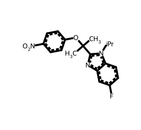 CC(C)n1c(C(C)(C)Oc2ccc([N+](=O)[O-])cc2)nc2cc(F)ccc21